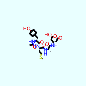 CSCC[C@H](NC(=O)[C@H](Cc1ccc(O)cc1)NC(C)=O)C(=O)N[C@@H](C)C(=O)N[C@H](CC=O)CC(=O)O